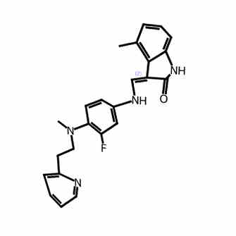 Cc1cccc2c1/C(=C/Nc1ccc(N(C)CCc3ccccn3)c(F)c1)C(=O)N2